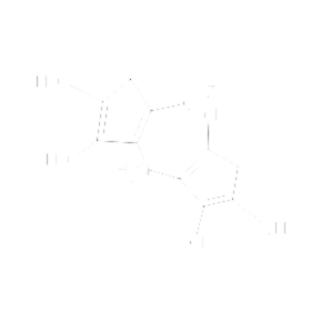 CC1=C(C)C([SiH2]C2=C(Cl)CC(C)=C2C)=C(Cl)C1.[Zr]